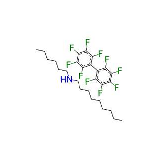 CCCCCCCCCNCCCCCC.Fc1c(F)c(F)c(-c2c(F)c(F)c(F)c(F)c2F)c(F)c1F